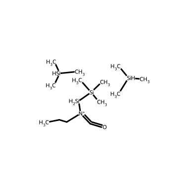 CCC[N+](=C=O)[SiH2][Si](C)(C)C.C[SiH](C)C.C[SiH](C)C